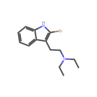 CCN(CC)CCc1c(Br)[nH]c2ccccc12